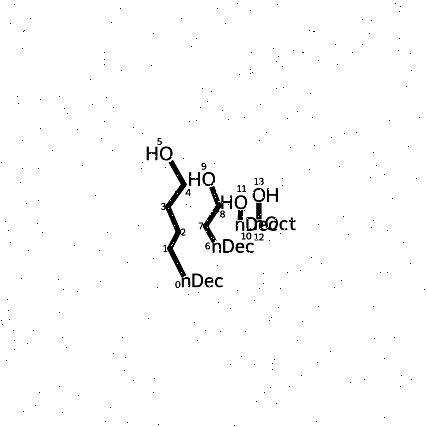 CCCCCCCCCCCCCCO.CCCCCCCCCCCCO.CCCCCCCCCCO.CCCCCCCCO